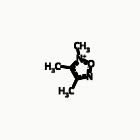 Cc1no[n+](C)c1C